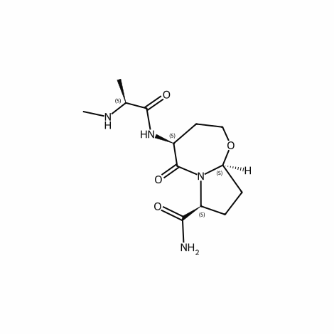 CN[C@@H](C)C(=O)N[C@H]1CCO[C@H]2CC[C@@H](C(N)=O)N2C1=O